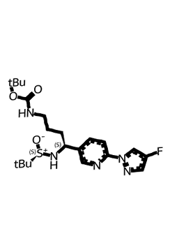 CC(C)(C)OC(=O)NCCC[C@H](N[S@+]([O-])C(C)(C)C)c1ccc(-n2cc(F)cn2)nc1